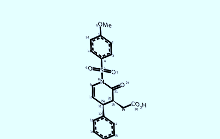 COc1ccc(S(=O)(=O)N2C=C[C@H](c3ccccc3)[C@H](CC(=O)O)C2=O)cc1